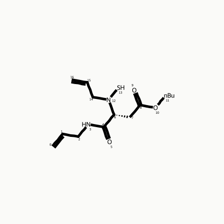 C=CCNC(=O)[C@@H](CC(=O)OCCCC)N(S)CC=C